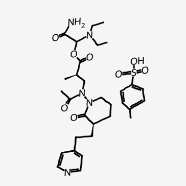 CCN(CC)C(OC(=O)[C@H](C)CN(C(C)=O)N1CCC[C@@H](CCc2ccncc2)C1=O)C(N)=O.Cc1ccc(S(=O)(=O)O)cc1